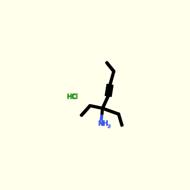 CCC#CC(N)(CC)CC.Cl